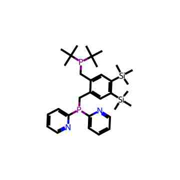 CC(C)(C)P(Cc1cc([Si](C)(C)C)c([Si](C)(C)C)cc1CP(c1ccccn1)c1ccccn1)C(C)(C)C